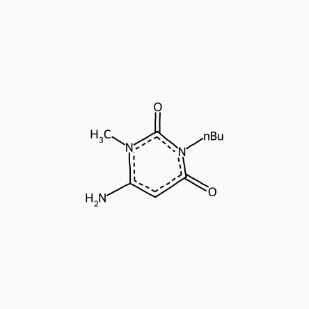 CCCCn1c(=O)cc(N)n(C)c1=O